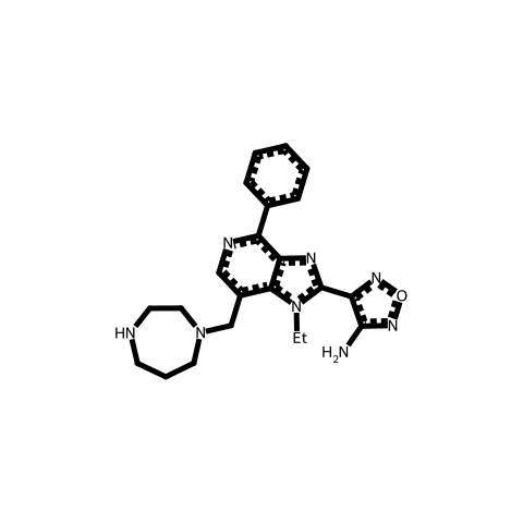 CCn1c(-c2nonc2N)nc2c(-c3ccccc3)ncc(CN3CCCNCC3)c21